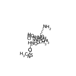 Cc1ncsc1-c1ccc(CCNC(=O)[C@@H]2C[C@H](O)CN2C(=O)[C@@H](NC(=O)CCCCCN)C(C)(C)C)cc1.Cl